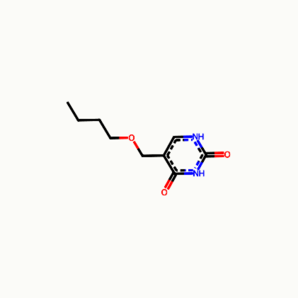 CCCCOCc1c[nH]c(=O)[nH]c1=O